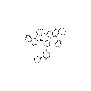 C1=CC2=C(CC1)N(c1ccccc1)c1ccc(-c3cccc4c5c6ccccc6ccc5n(-c5cccc(-c6cc(-c7ccccc7)ncn6)c5)c34)cc1S2